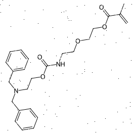 C=C(C)C(=O)OCCOCCNC(=O)OCCN(Cc1ccccc1)Cc1ccccc1